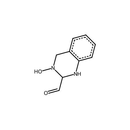 O=CC1Nc2ccccc2CN1O